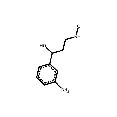 Nc1cccc(C(O)CCNCl)c1